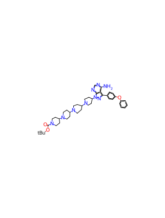 CC(C)(C)OC(=O)N1CCC(N2CCC(N3CCC(N4CCC(n5nc(-c6ccc(Oc7ccccc7)cc6)c6c(N)ncnc65)CC4)CC3)CC2)CC1